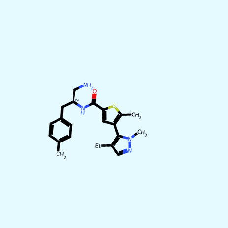 CCc1cnn(C)c1-c1cc(C(=O)N[C@H](CN)Cc2ccc(C)cc2)sc1C